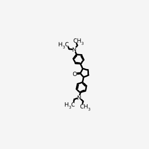 CCN(CC)c1ccc(C2CCC(c3ccc(N(CC)CC)cc3)C2=O)cc1